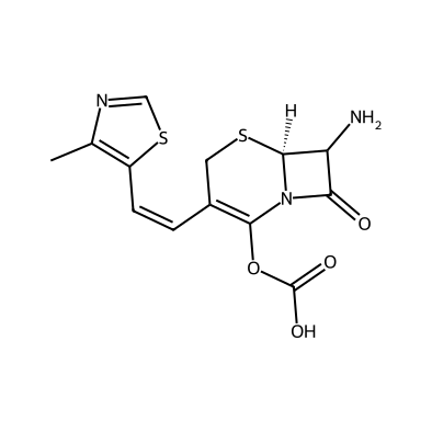 Cc1ncsc1/C=C\C1=C(OC(=O)O)N2C(=O)C(N)[C@@H]2SC1